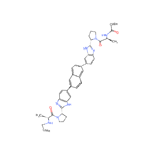 COCN[C@@H](C)C(=O)N1CCC[C@H]1c1nc2ccc(-c3ccc4cc(-c5ccc6nc([C@@H]7CCCN7C(=O)[C@H](C)NC(=O)OC)[nH]c6c5)ccc4c3)cc2[nH]1